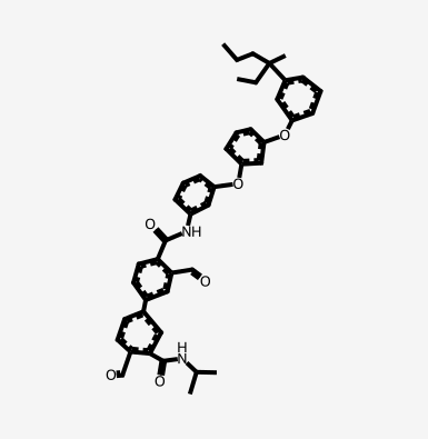 CCCC(C)(CC)c1cccc(Oc2cccc(Oc3cccc(NC(=O)c4ccc(-c5ccc(C=O)c(C(=O)NC(C)C)c5)cc4C=O)c3)c2)c1